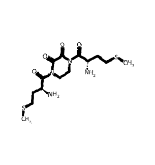 CSCC[C@H](N)C(=O)N1CCN(C(=O)[C@@H](N)CCSC)C(=O)C1=O